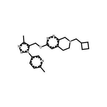 Cc1ccc(-n2nnc(C)c2COc2cc3c(nn2)CN(CC2CCC2)CC3)cn1